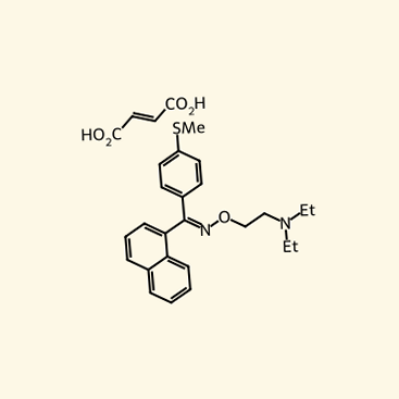 CCN(CC)CCON=C(c1ccc(SC)cc1)c1cccc2ccccc12.O=C(O)C=CC(=O)O